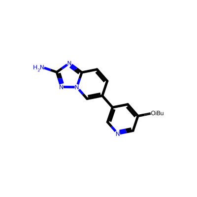 CC(C)COc1cncc(-c2ccc3nc(N)nn3c2)c1